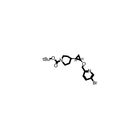 CC(C)(C)OC(=O)N1CCC([C@H]2C[C@H]2OCc2ccc(Br)cn2)CC1